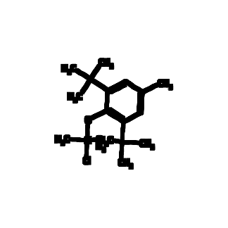 Cc1cc(C(C)(C)C)c(O[Si](C)(C)Cl)c(C(C)(C)C)c1